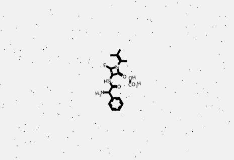 CC(C)=C(C)N1C(=O)C(NC(=O)C(N)c2ccccc2)C1F.O=C(O)O